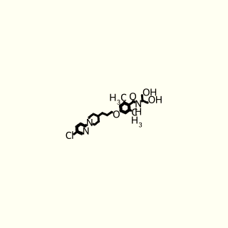 Cc1cc(OCCCC2CCN(c3ccc(Cl)cn3)CC2)cc(C)c1C(=O)NC(CO)CO